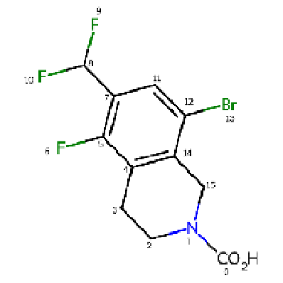 O=C(O)N1CCc2c(F)c(C(F)F)cc(Br)c2C1